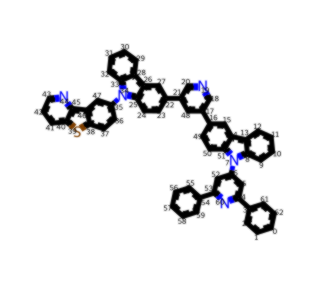 c1ccc(-c2cc(-n3c4ccccc4c4cc(-c5cncc(-c6ccc7c(c6)c6ccccc6n7-c6ccc7sc8cccnc8c7c6)c5)ccc43)cc(-c3ccccc3)n2)cc1